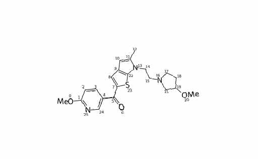 COc1ccc(C(=O)c2cc3cc(C)n(CCN4CCC(OC)C4)c3s2)cn1